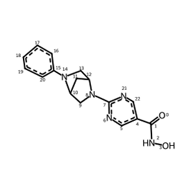 O=C(NO)c1cnc(N2CC3CC2CN3c2ccccc2)nc1